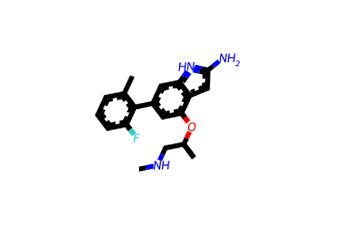 CNCC(C)Oc1cc(-c2c(C)cccc2F)cc2[nH]c(N)cc12